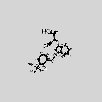 C=C(O)/C(C#N)=C/c1cn(Cc2cccc(C(F)(F)F)c2Cl)c2ncccc12